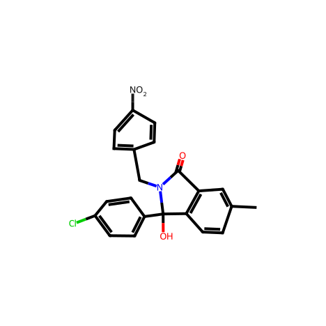 Cc1ccc2c(c1)C(=O)N(Cc1ccc([N+](=O)[O-])cc1)C2(O)c1ccc(Cl)cc1